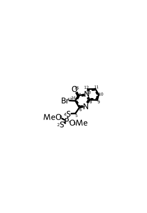 COP(=S)(OC)SCc1nc2ccccn2c(=O)c1Br